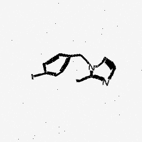 Cc1nccn1Cc1ccc(I)cc1